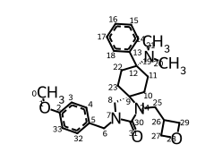 COc1ccc(CN2C[C@]3(CC[C@@](c4ccccc4)(N(C)C)CC3)N(CC3COC3)C2=O)cc1